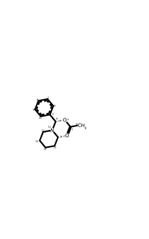 CC(=O)O[C@@H](c1ccccc1)N1CCCCC1